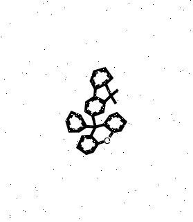 CC1(C)c2ccccc2-c2ccc(C3(c4ccccc4)c4ccccc4Oc4ccccc43)cc21